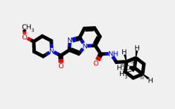 COC1CCN(C(=O)c2cn3c(C(=O)NC[C@H]4CC[C@H]5C[C@@H]4C5(C)C)cccc3n2)CC1